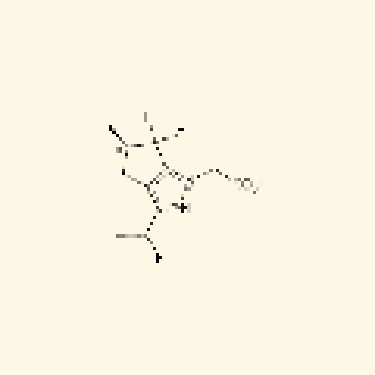 C[C@@H]1Cc2c(C(F)F)nn(CC(=O)O)c2C1(F)F